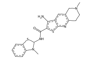 CN1CCc2nc3sc(C(=O)NC4Sc5ccccc5N4C)c(N)c3cc2C1